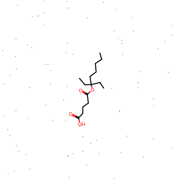 CCCCCC(CC)(CC)OC(=O)CCCC(=O)O